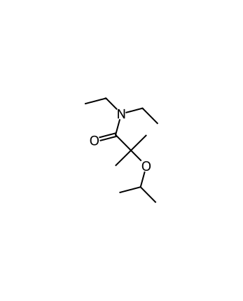 CCN(CC)C(=O)C(C)(C)OC(C)C